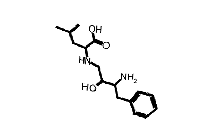 CC(C)CC(NCC(O)C(N)Cc1ccccc1)C(=O)O